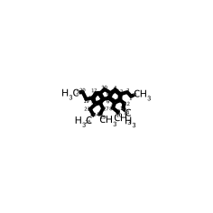 CCCc1[c]c2c(c(CCC)c1CCC)-c1c(cc(CCC)c(CCC)c1CCC)C2